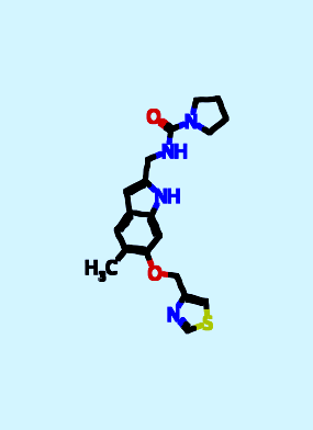 Cc1cc2cc(CNC(=O)N3CCCC3)[nH]c2cc1OCc1cscn1